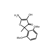 COc1cccc(OC)c1C1(C)OC(N)=C(O)C1=O